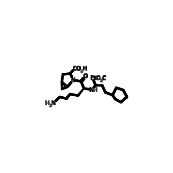 CCOC(=O)C(CCC1CCCCC1)N[C@@H](CCCCN)C(=O)N1C(C(=O)O)CC2CC21